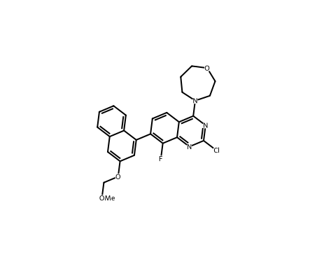 COCOc1cc(-c2ccc3c(N4CCCOCC4)nc(Cl)nc3c2F)c2ccccc2c1